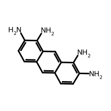 Nc1ccc2cc3ccc(N)c(N)c3cc2c1N